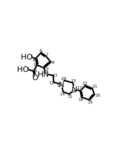 O=C(O)c1c(O)cccc1NCCN1CCN(c2ccccc2)CC1